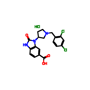 Cl.O=C(O)c1ccc2[nH]c(=O)n([C@H]3CCN(Cc4ccc(Cl)cc4Cl)C3)c2c1